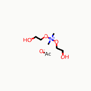 CC(=O)[O-].C[N+](C)(OCCO)OCCO